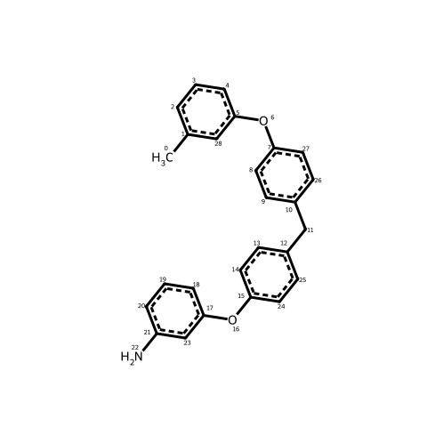 Cc1cccc(Oc2ccc(Cc3ccc(Oc4cccc(N)c4)cc3)cc2)c1